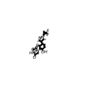 O=C1CN(c2c(O)ccc(-c3cnn(C4CC4(F)F)c3)c2F)S(=O)(=O)N1